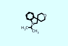 CC(C)N1CC2(CCOCC2)c2ccccc21